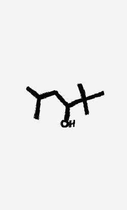 CC(C)CC(O)C(C)(C)C